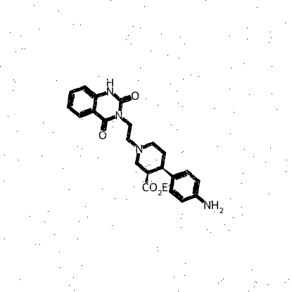 CCOC(=O)[C@H]1CN(CCn2c(=O)[nH]c3ccccc3c2=O)CC[C@H]1c1ccc(N)cc1